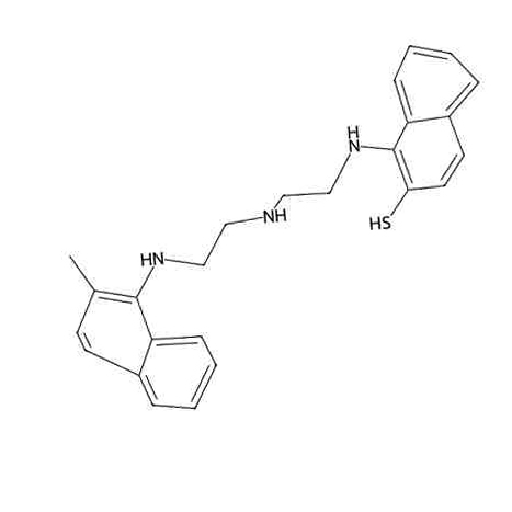 Cc1ccc2ccccc2c1NCCNCCNc1c(S)ccc2ccccc12